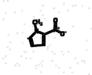 Cn1[c]ccc1[N+](=O)[O-]